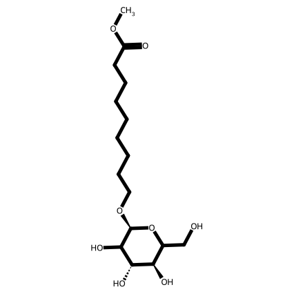 COC(=O)CCCCCCCCO[C@H]1OC(CO)[C@@H](O)[C@H](O)C1O